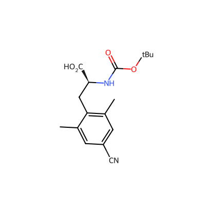 Cc1cc(C#N)cc(C)c1C[C@H](NC(=O)OC(C)(C)C)C(=O)O